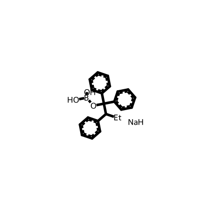 CCC(c1ccccc1)C(OB(O)O)(c1ccccc1)c1ccccc1.[NaH]